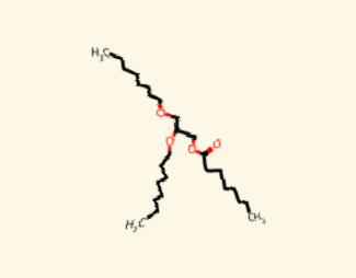 CCCCCCCCOCC(COC(=O)CCCCCCC)OCCCCCCCC